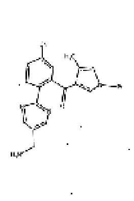 Cc1nn(C(C)C)cc1C(=O)c1cc(C#N)ccc1-c1ncc(CN)cn1